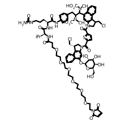 CC(C)[C@H](NC(=O)CCOCCOCCOCCOCCOCCOCCN1C(=O)C=CC1=O)C(=O)N[C@@H](CCCNC(N)=O)C(=O)Nc1ccc(CC(C(c2cc3c(c4ccccc24)C(CCl)CN3C(=O)c2ccc(C(=O)N3C[C@@H](CCl)c4c3cc(O[C@@H]3O[C@H](CO)[C@H](O)[C@H](O)[C@H]3O)c3ccccc43)s2)N(C)C(=O)O)N(C)C(=O)O)cc1